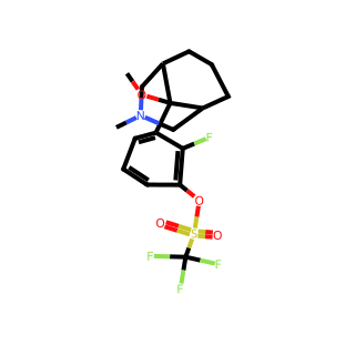 COC1(c2cccc(OS(=O)(=O)C(F)(F)F)c2F)C2CCCC1CN(C)C2